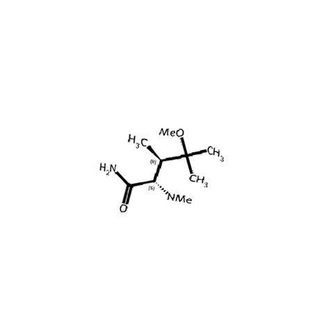 CN[C@H](C(N)=O)[C@@H](C)C(C)(C)OC